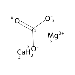 O=C([O-])[O-].[CaH2].[Mg+2]